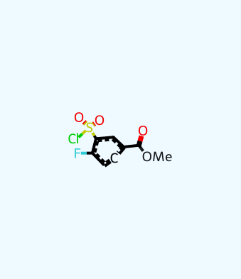 COC(=O)c1ccc(F)c(S(=O)(=O)Cl)c1